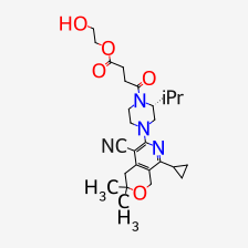 CC(C)[C@@H]1CN(c2nc(C3CC3)c3c(c2C#N)CC(C)(C)OC3)CCN1C(=O)CCC(=O)OCCO